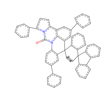 O=c1n2c3c(cc(-c4ccccc4)cc3c3ccc(-c4ccccc4)n13)C1(c3cc(-c4ccccc4)ccc3-2)c2ccccc2C2(c3ccccc3-c3ccccc32)c2ccccc21